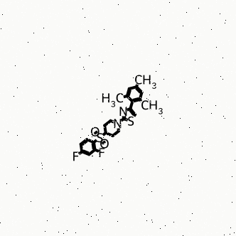 Cc1cc(C)c(-c2csc(N3CCC(S(=O)(=O)c4ccc(F)cc4F)CC3)n2)c(C)c1